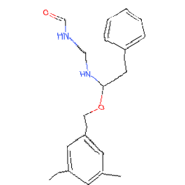 Cc1cc(C)cc(COC(Cc2ccccc2)NCNC=O)c1